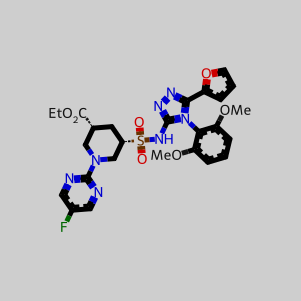 CCOC(=O)[C@@H]1C[C@H](S(=O)(=O)Nc2nnc(-c3ccco3)n2-c2c(OC)cccc2OC)CN(c2ncc(F)cn2)C1